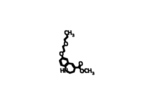 CCCOCCOc1ccc2c(c1)C=C(C(=O)OC)CCN2